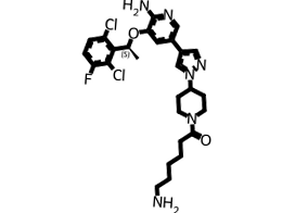 C[C@H](Oc1cc(-c2cnn(C3CCN(C(=O)CCCCCN)CC3)c2)cnc1N)c1c(Cl)ccc(F)c1Cl